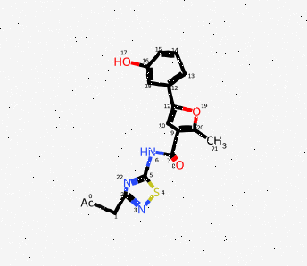 CC(=O)Cc1nsc(NC(=O)c2cc(-c3cccc(O)c3)oc2C)n1